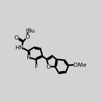 COc1ccc2oc(-c3ccc(NC(=O)OC(C)(C)C)nc3F)cc2c1